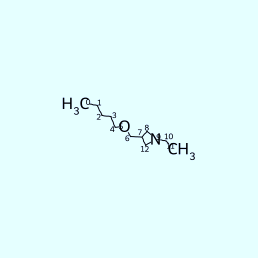 CCCCCOCC1CN(CC)C1